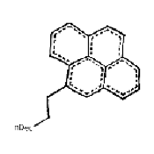 CCCCCCCCCCCCc1cc2cccc3ccc4cccc1c4c32